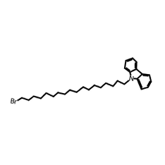 BrCCCCCCCCCCCCCCCCCCn1c2ccccc2c2ccccc21